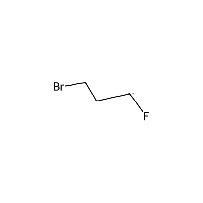 F[CH]CCBr